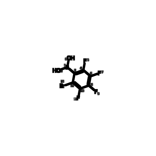 OB(O)c1c(F)c(F)c(F)c(F)c1Br